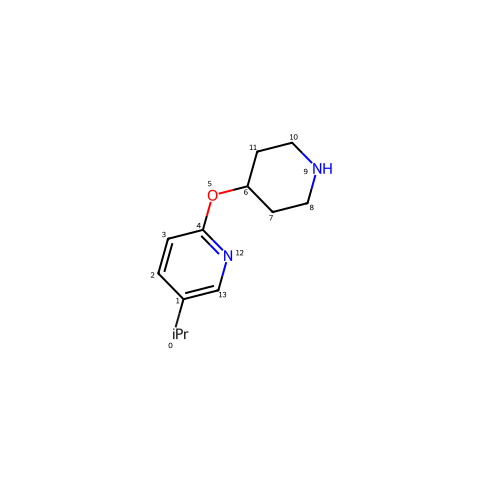 CC(C)c1ccc(OC2CCNCC2)nc1